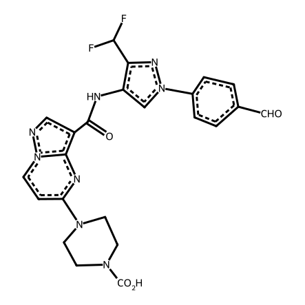 O=Cc1ccc(-n2cc(NC(=O)c3cnn4ccc(N5CCN(C(=O)O)CC5)nc34)c(C(F)F)n2)cc1